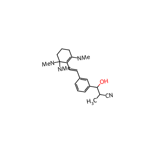 CNC1=C(/C=C/c2cccc(C(O)C(C)C#N)c2)C(NC)(NC)CCC1